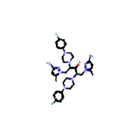 Cc1cc(N)nn1CC(C(=O)C(Cn1nc(N)cc1C)N1CCN(c2ccc(F)cc2)CC1)N1CCN(c2ccc(F)cc2)CC1